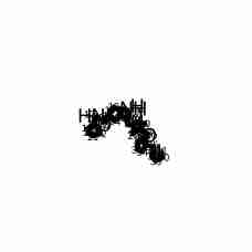 Cc1[nH]c(/C=C2\C(=O)Nc3ccc(C(=O)N[C@@H](C)c4ccccc4)cc32)c(C)c1C(=O)N1CCC[C@@H]1CN1CCCC1